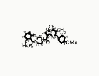 COc1ccc(-c2nc3c(C(=O)N4CCN([C@@H](CO)c5c(F)cccc5F)CC4)cnn3c(C(F)(F)F)c2C)cc1